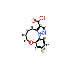 O=C(O)c1cnn2c1CCCCOc1cc(F)ccc1-2